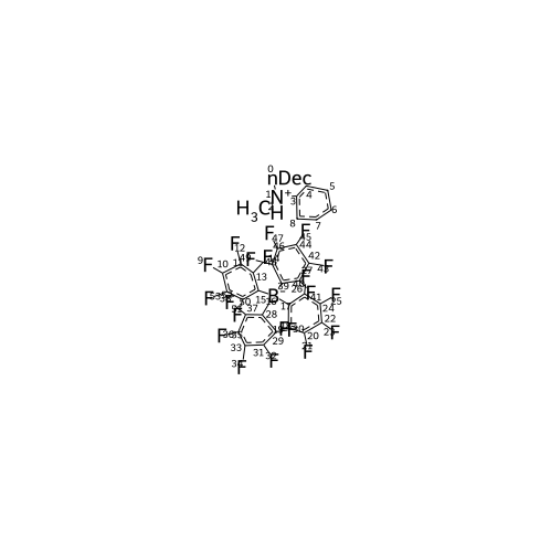 CCCCCCCCCC[NH+](C)c1ccccc1.Fc1c(F)c(F)c([B-](c2c(F)c(F)c(F)c(F)c2F)(c2c(F)c(F)c(F)c(F)c2F)c2c(F)c(F)c(F)c(F)c2F)c(F)c1F